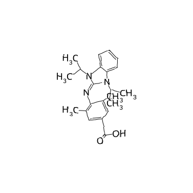 Cc1cc(C(=O)O)cc(C)c1N=c1n(C(C)C)c2ccccc2n1C(C)C